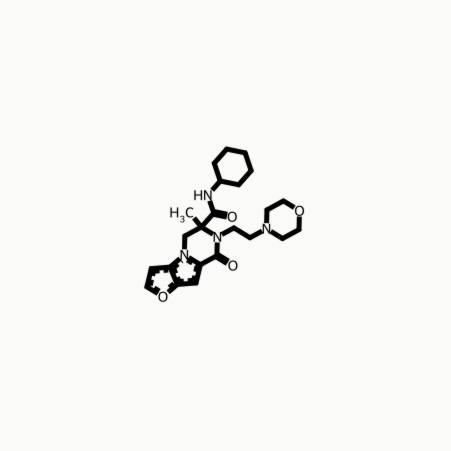 CC1(C(=O)NC2CCCCC2)Cn2c(cc3occc32)C(=O)N1CCN1CCOCC1